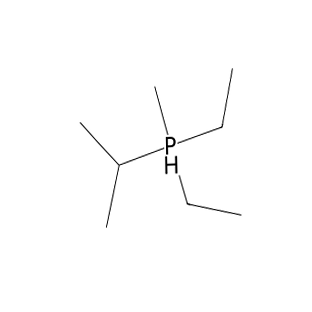 CC[PH](C)(CC)C(C)C